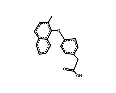 Cc1ccc2ccccc2c1Oc1ccc(CC(=O)O)cc1